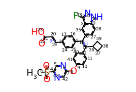 CS(=O)(=O)c1cnc(Oc2ccc(/C(=C(\c3ccc(/C=C/C(=O)O)cc3)c3ccc4[nH]nc(F)c4c3)C3CCC3)cc2)cn1